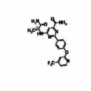 C[C@H](Nc1cc(C(N)=O)nc(-c2ccc(Oc3cc(C(F)(F)F)ccn3)cc2)n1)C(N)=O